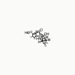 O=C(O)[C@@H]1[C@@H](Nc2nc(Cl)nn3c(CO)ccc23)[C@@H]2CC[C@H]1C1CC12